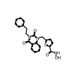 O=C(NO)c1ccc(Cn2c(=O)n(CCc3ccccc3)c(=O)c3ccccc32)s1